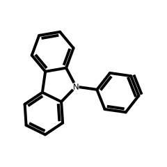 c1ccc(-n2c3ccccc3c3ccccc32)cc#1